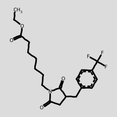 CCOC(=O)CCCCCCN1C(=O)CC(Cc2ccc(C(F)(F)F)cc2)C1=O